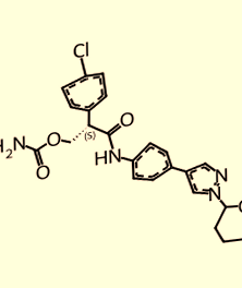 NC(=O)OC[C@@H](C(=O)Nc1ccc(-c2cnn(C3CCCCO3)c2)cc1)c1ccc(Cl)cc1